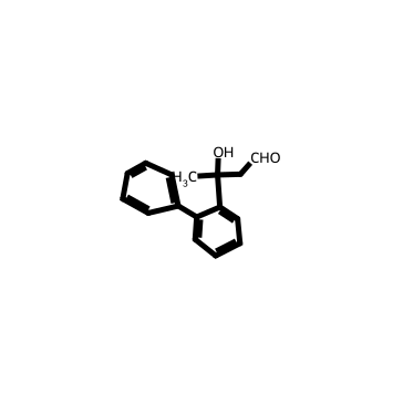 CC(O)(CC=O)c1ccccc1-c1ccccc1